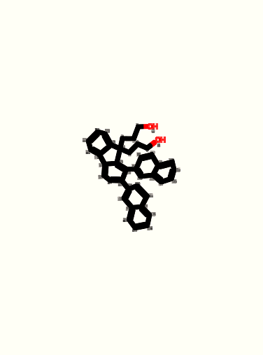 OCCCC1(CCCO)c2ccccc2-c2ccc(-c3ccc4ccccc4c3)c(-c3ccc4ccccc4c3)c21